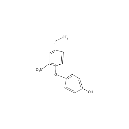 O=[N+]([O-])c1cc(CC(F)(F)F)ccc1Oc1ccc(O)cc1